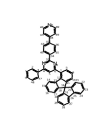 c1ccc(-c2cc(-c3cccc4c3-c3ccccc3C43c4ccccc4-c4ccccc43)nc(-c3ccc(-c4ccncc4)cc3)n2)cc1